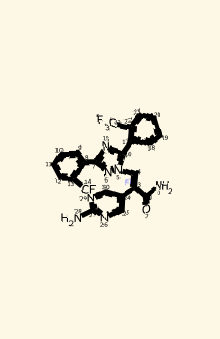 NC(=O)/C(=C/n1nc(-c2ccccc2C(F)(F)F)nc1-c1ccccc1C(F)(F)F)c1cnc(N)nc1